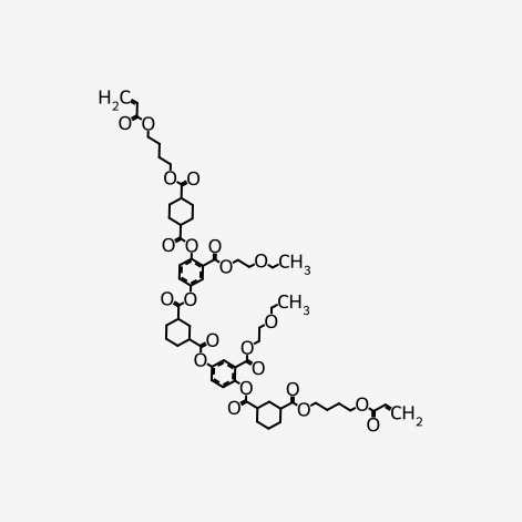 C=CC(=O)OCCCCOC(=O)C1CCC(C(=O)Oc2ccc(OC(=O)C3CCCC(C(=O)Oc4ccc(OC(=O)C5CCCC(C(=O)OCCCCOC(=O)C=C)C5)c(C(=O)OCCOCC)c4)C3)cc2C(=O)OCCOCC)CC1